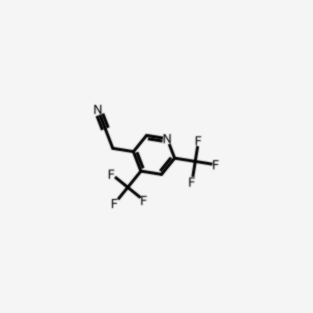 N#CCc1cnc(C(F)(F)F)cc1C(F)(F)F